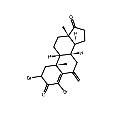 C=C1C[C@@H]2[C@@H](CC[C@]3(C)C(=O)CC[C@@H]23)[C@@]2(C)CC(Br)C(=O)C(Br)=C12